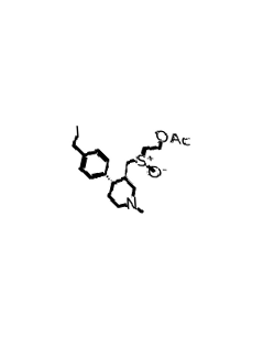 CC(=O)OCC[S+]([O-])C[C@H]1CN(C)CC[C@@H]1c1ccc(CI)cc1